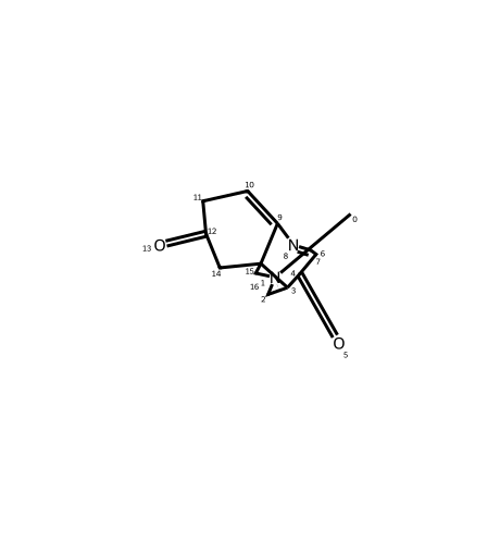 CN1C=C2C(=O)CC=NC3=CCC(=O)CC32C1